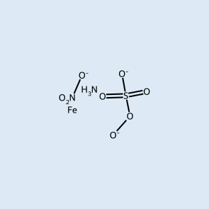 N.O=S(=O)([O-])O[O-].O=[N+]([O-])[O-].[Fe]